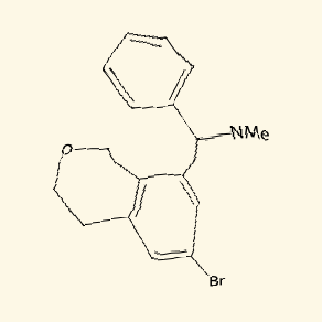 CNC(c1ccccc1)c1cc(Br)cc2c1COCC2